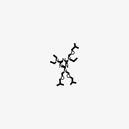 CCN(CC)c1nc(N(CC)COCC(C)C)nc(N(COCC(C)C)COCC(C)C)n1